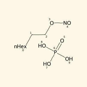 CCCCCCCCON=O.O=P(O)(O)O